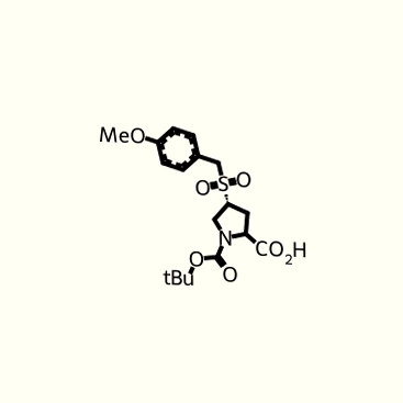 COc1ccc(CS(=O)(=O)[C@@H]2CC(C(=O)O)N(C(=O)OC(C)(C)C)C2)cc1